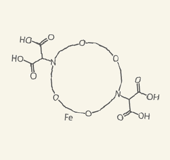 O=C(O)C(C(=O)O)N1CCOCCOCCN(C(C(=O)O)C(=O)O)CCOCCOCC1.[Fe]